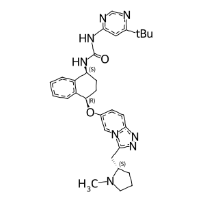 CN1CCC[C@H]1Cc1nnc2ccc(O[C@@H]3CC[C@H](NC(=O)Nc4cc(C(C)(C)C)ncn4)c4ccccc43)cn12